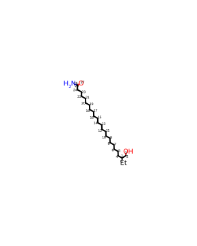 CCC(CO)CCCCCCCCCCCCCCCCCCCCCC(N)=O